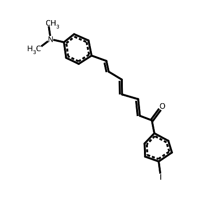 CN(C)c1ccc(/C=C/C=C/C=C/C(=O)c2ccc(I)cc2)cc1